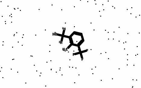 [2H]C([2H])(O)c1cccc(C(F)(F)F)c1C